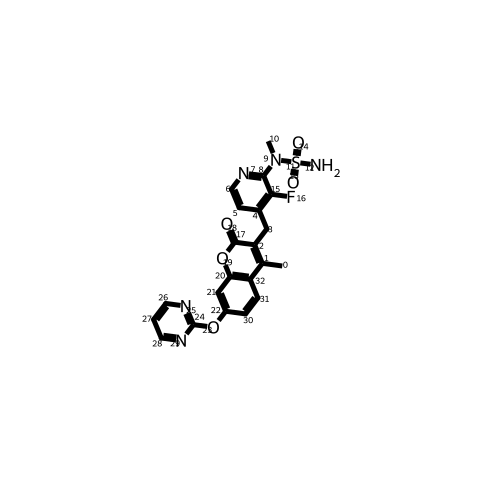 Cc1c(Cc2ccnc(N(C)S(N)(=O)=O)c2F)c(=O)oc2cc(Oc3ncccn3)ccc12